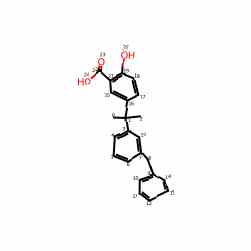 CC(C)(c1cccc(Cc2ccccc2)c1)c1ccc(O)c(C(=O)O)c1